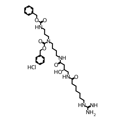 Cl.N=C(N)NCCCCCCC(=O)NC[C@@H](O)CC(=O)NCCCCN(CCCNC(=O)OCc1ccccc1)C(=O)OCc1ccccc1